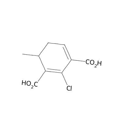 CC1CC=C(C(=O)O)C(Cl)=C1C(=O)O